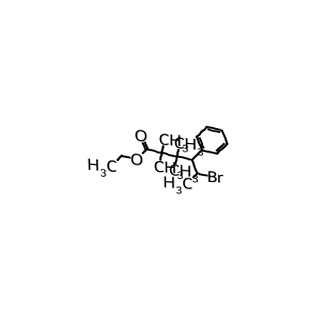 CCOC(=O)C(C)(C)C(C)(C)C(c1ccccc1)C(C)Br